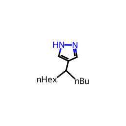 CCCCCCC(CCCC)c1cn[nH]c1